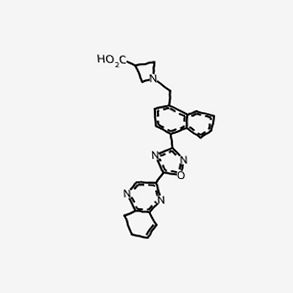 O=C(O)C1CN(Cc2ccc(-c3noc(-c4cnc5c(n4)C=CCC5)n3)c3ccccc23)C1